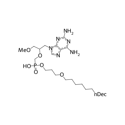 CCCCCCCCCCCCCCCCOCCCOP(=O)(O)COC(COC)Cn1cnc2c(N)nc(N)nc21